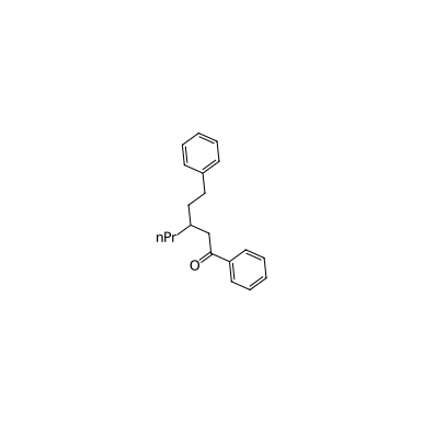 CCCC(CCc1ccccc1)CC(=O)c1ccccc1